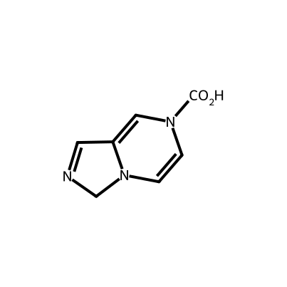 O=C(O)N1C=CN2CN=CC2=C1